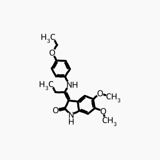 CCOc1ccc(NC(CC)=C2C(=O)Nc3cc(OC)c(OC)cc32)cc1